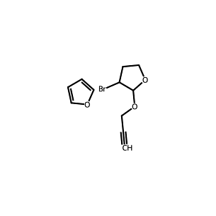 C#CCOC1OCCC1Br.c1ccoc1